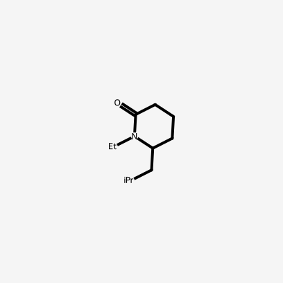 CCN1C(=O)CCCC1CC(C)C